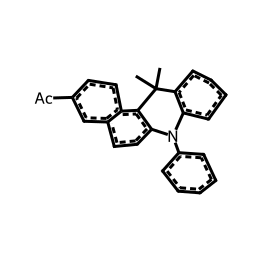 CC(=O)c1ccc2c3c(ccc2c1)N(c1ccccc1)c1ccccc1C3(C)C